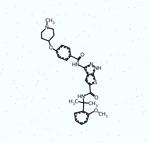 COc1ccccc1C(C)(C)NC(=O)c1cc2c(NC(=O)c3ccc(OC4CCN(C)CC4)cc3)n[nH]c2s1